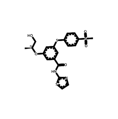 C[C@@H](CO)Oc1cc(Sc2ccc(S(C)(=O)=O)cc2)cc(C(=O)Nc2nccs2)c1